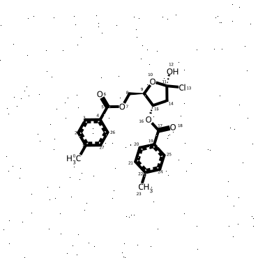 Cc1ccc(C(=O)OC[C@H]2O[C@@](O)(Cl)C[C@@H]2OC(=O)c2ccc(C)cc2)cc1